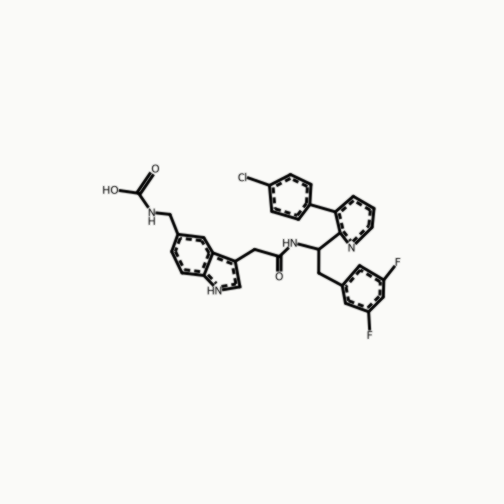 O=C(O)NCc1ccc2[nH]cc(CC(=O)NC(Cc3cc(F)cc(F)c3)c3ncccc3-c3ccc(Cl)cc3)c2c1